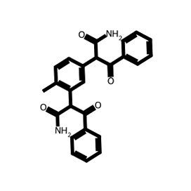 Cc1ccc(C(C(N)=O)C(=O)c2ccccc2)cc1C(C(N)=O)C(=O)c1ccccc1